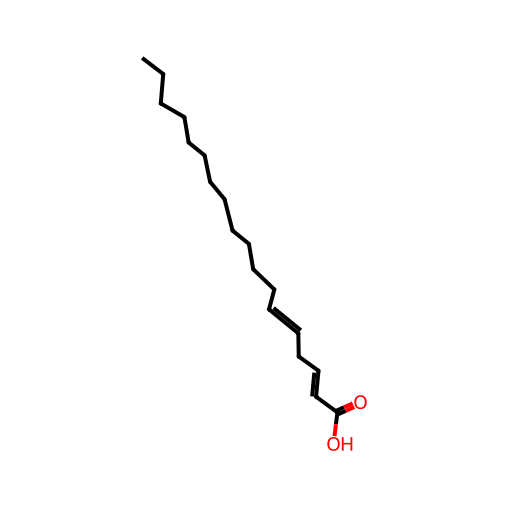 CCCCCCCCCCCCC=CCC=CC(=O)O